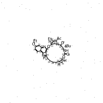 CCOc1ccc2cc3c(nc2c1)O[C@H]1CN(C(=O)[C@H](C(C)(C)C)NC(=O)O[C@@H]2C[C@H]2CCCCC3(F)F)[C@H](C(C)=O)[C@@H]1CC